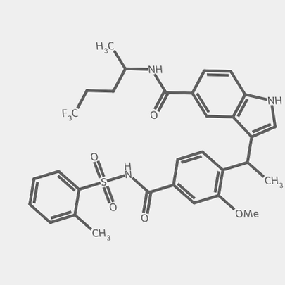 COc1cc(C(=O)NS(=O)(=O)c2ccccc2C)ccc1C(C)c1c[nH]c2ccc(C(=O)NC(C)CCC(F)(F)F)cc12